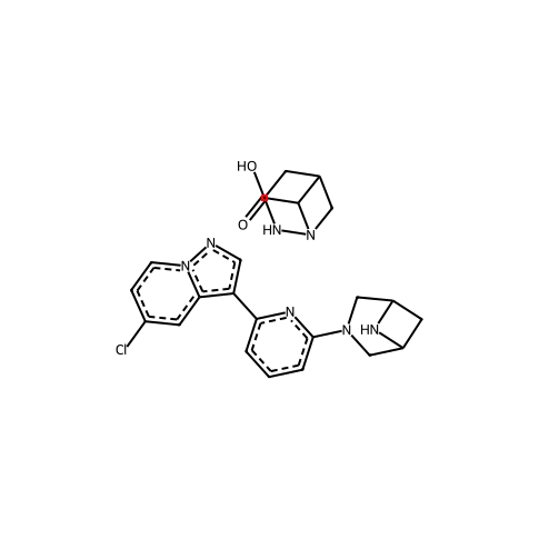 Clc1ccn2ncc(-c3cccc(N4CC5CC(C4)N5)n3)c2c1.O=C(O)C1C2CCNN1C2